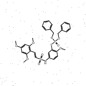 COc1cc(OC)c(/C=C/S(=O)(=O)Nc2ccc(OC)c(SP(=O)(OCc3ccccc3)OCc3ccccc3)c2)c(OC)c1